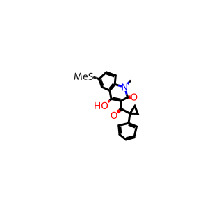 CSc1ccc2c(c1)c(O)c(C(=O)C1(c3ccccc3)CC1)c(=O)n2C